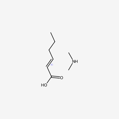 CCC/C=C/C(=O)O.CNC